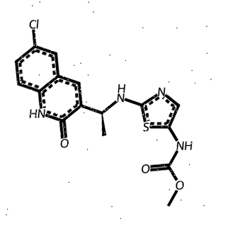 COC(=O)Nc1cnc(N[C@@H](C)c2cc3cc(Cl)ccc3[nH]c2=O)s1